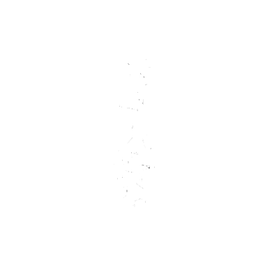 CCN(CC)CCNC(=O)COc1ccc2c(c1)C(C)(C)c1oc3ccccc3c1C2=O